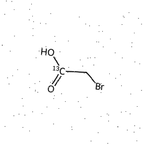 O=[13C](O)CBr